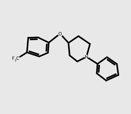 FC(F)(F)c1ccc(OC2CCN(c3c[c]ccc3)CC2)cc1